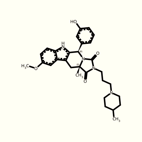 COc1ccc2[nH]c3c(c2c1)C[C@@]1(C)C(=O)N(CCCN2CCC(C)CC2)C(=O)N1[C@@H]3c1cccc(O)c1